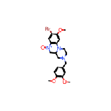 COc1cc2c(cc1Br)[N+](=O)CC1CN(Cc3ccc(OC)c(OC)c3)CCN21